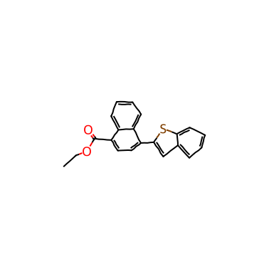 CCOC(=O)c1ccc(-c2cc3ccccc3s2)c2ccccc12